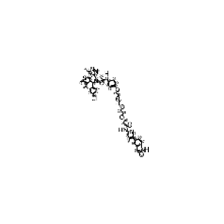 Cc1cc(NC(=O)CCOCCOCCOCCOc2ccc(NC(=O)C[C@@H]3N=C(c4ccc(Cl)cc4)c4c(sc(C)c4C)-n4c(C)nnc43)cc2)ncc1-c1ccc2c(c1)CC(=O)N2